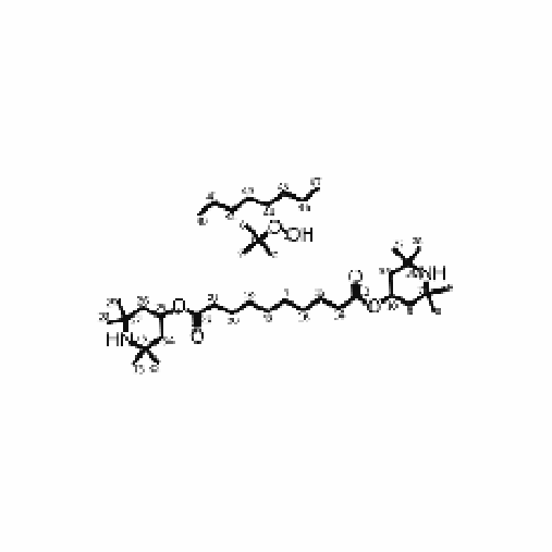 CC(C)(C)OO.CC1(C)CC(OC(=O)CCCCCCCCC(=O)OC2CC(C)(C)NC(C)(C)C2)CC(C)(C)N1.CCCCCCCC